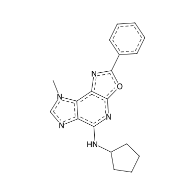 Cn1cnc2c(NC3CCCC3)nc3oc(-c4ccccc4)nc3c21